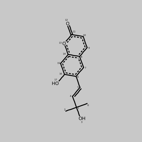 CC(C)(O)C=Cc1cc2ccc(=O)oc2cc1O